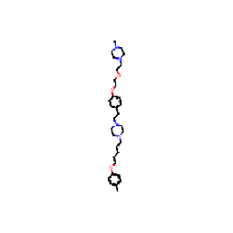 Cc1ccc(OCCCCCN2CCN(CCc3ccc(OCCOCCN4CCN(C)CC4)cc3)CC2)cc1